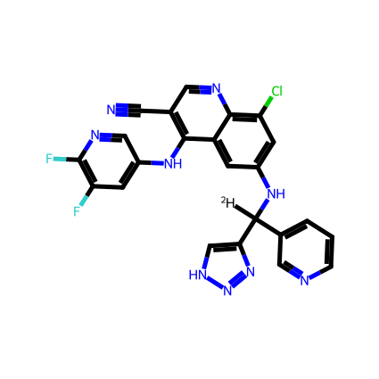 [2H]C(Nc1cc(Cl)c2ncc(C#N)c(Nc3cnc(F)c(F)c3)c2c1)(c1cccnc1)c1c[nH]nn1